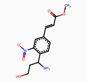 COC(=O)/C=C/c1ccc(C(N)CCO)c([N+](=O)[O-])c1